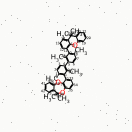 Cc1ccc(-c2ccc(C)c(-c3cccc4c3Oc3ccccc3C4(C)C)c2C)c(C)c1-c1cccc2c1Oc1ccccc1C(C)(C)O2